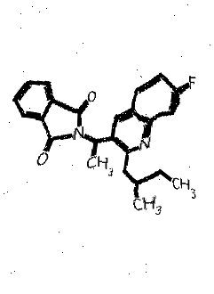 CCC(C)Cc1nc2cc(F)ccc2cc1C(C)N1C(=O)c2ccccc2C1=O